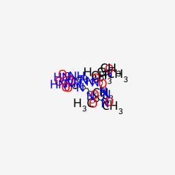 COc1cc(-c2cn(C)c(=O)c3cnc(N4CC(COc5cc(-c6cn(C)c(=O)c(C)c6C)cc(OC)c5CN5CCN(C6CN(c7ccc(C(=O)NC8CCC(=O)NC8=O)cc7)C6)CC5)C4)cc23)cc(OC)c1CN1CCC(CC2CCN(c3ccc(C(=O)NC4CCC(=O)NC4=O)cc3)CC2)CC1